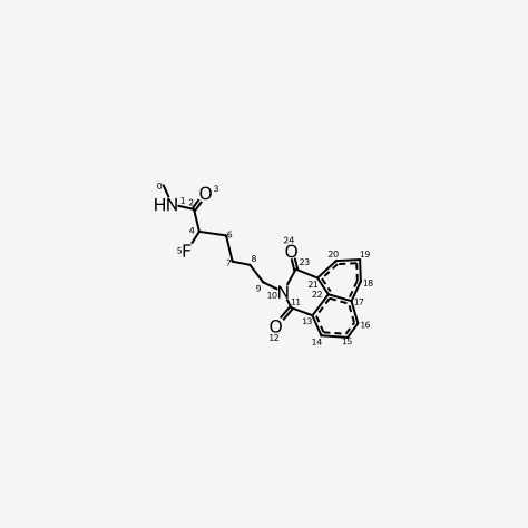 CNC(=O)C(F)CCCCN1C(=O)c2cccc3cccc(c23)C1=O